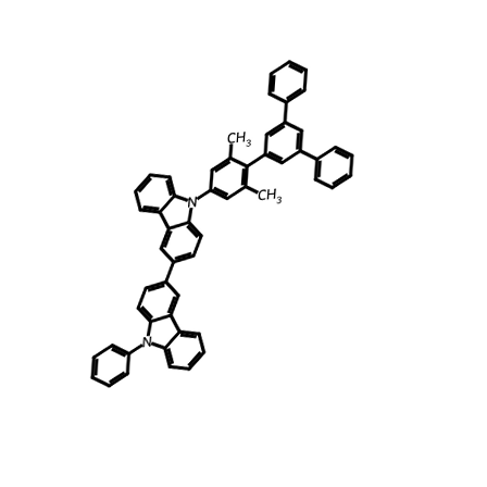 Cc1cc(-n2c3ccccc3c3cc(-c4ccc5c(c4)c4ccccc4n5-c4ccccc4)ccc32)cc(C)c1-c1cc(-c2ccccc2)cc(-c2ccccc2)c1